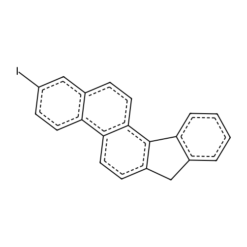 Ic1ccc2c(ccc3c4c(ccc32)Cc2ccccc2-4)c1